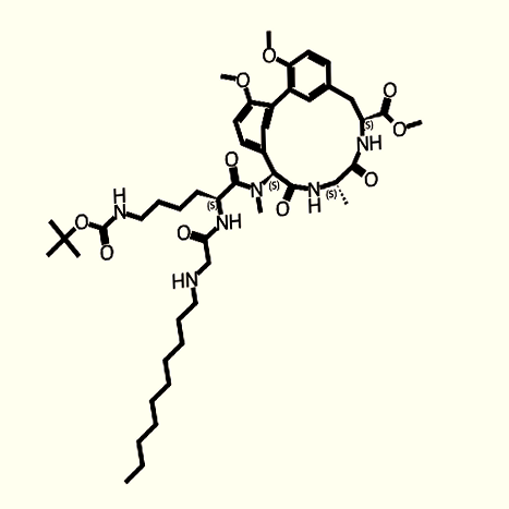 CCCCCCCCCCNCC(=O)N[C@@H](CCCCNC(=O)OC(C)(C)C)C(=O)N(C)[C@@H]1C(=O)N[C@@H](C)C(=O)N[C@H](C(=O)OC)Cc2ccc(OC)c(c2)-c2cc1ccc2OC